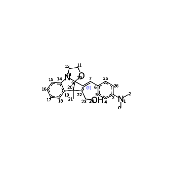 CN(C)c1ccc(/C=C/C23OCCN2c2ccccc2C3(C)CCO)cc1